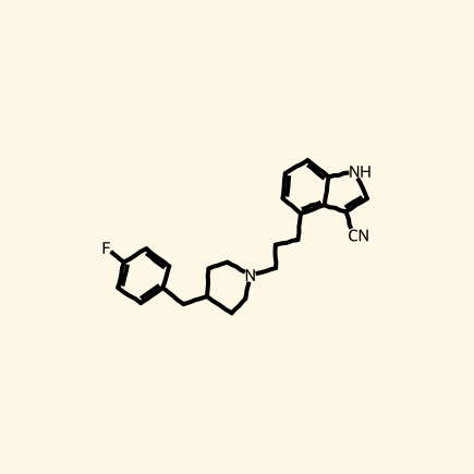 N#Cc1c[nH]c2cccc(CCCN3CCC(Cc4ccc(F)cc4)CC3)c12